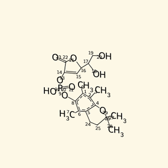 Cc1c(C)c2c(c(C)c1OP(=O)(O)OC1=CC(C(O)CO)OC1=O)CCC(C)(C)O2